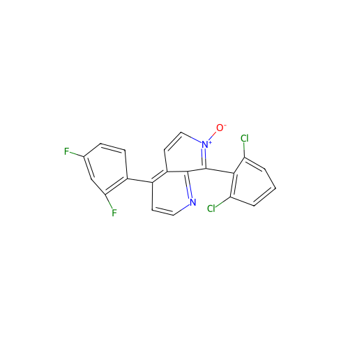 [O-][n+]1ccc2c(-c3ccc(F)cc3F)ccnc2c1-c1c(Cl)cccc1Cl